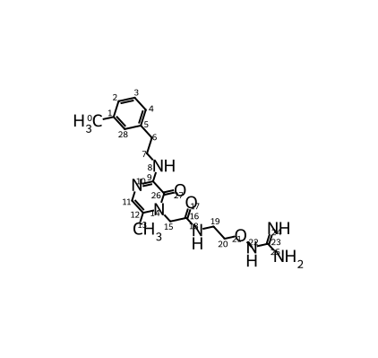 Cc1cccc(CCNc2ncc(C)n(CC(=O)NCCONC(=N)N)c2=O)c1